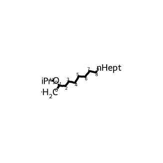 [CH2]C(CCCCCCCCCCCCCC)OC(C)C